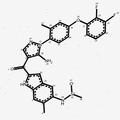 Cc1cc2[nH]c(C(=O)c3cnn(-c4ccc(Oc5cccc(F)c5F)cc4C)c3N)cc2cc1N[S+](C)[O-]